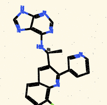 C[C@H](Nc1ncnc2[nH]cnc12)c1cc2cccc(F)c2nc1-c1cccnc1